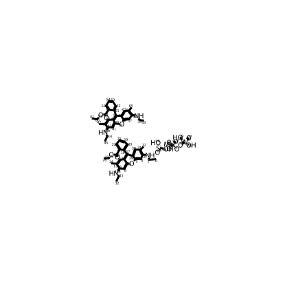 CCNc1cc2oc3cc(=[NH+]CC)c(C)cc-3c(-c3ccccc3C(=O)OCC)c2cc1C.CCNc1cc2oc3cc(=[NH+]CC)c(C)cc-3c(-c3ccccc3C(=O)OCC)c2cc1C.O=[Si](O)O.[O]=[Mo](=[O])([O-])[O-].[O]=[W](=[O])([OH])[OH]